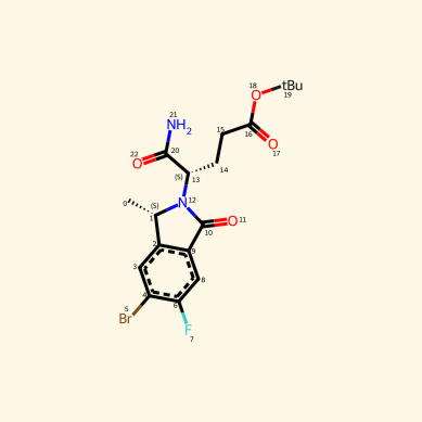 C[C@H]1c2cc(Br)c(F)cc2C(=O)N1[C@@H](CCC(=O)OC(C)(C)C)C(N)=O